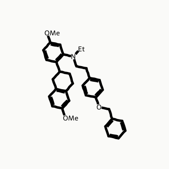 CCN(CCc1ccc(OCc2ccccc2)cc1)c1cc(OC)ccc1C1CCc2cc(OC)ccc2C1